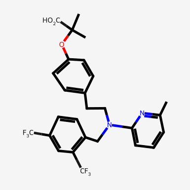 Cc1cccc(N(CCc2ccc(OC(C)(C)C(=O)O)cc2)Cc2ccc(C(F)(F)F)cc2C(F)(F)F)n1